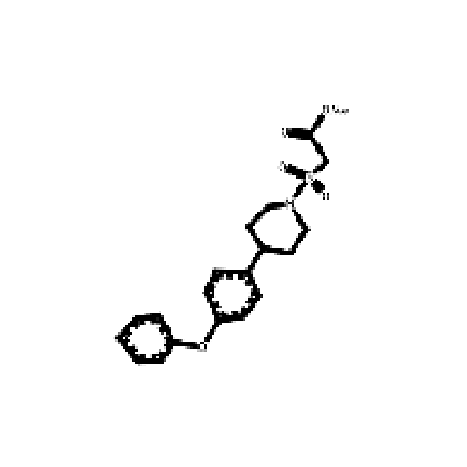 COC(=O)CS(=O)(=O)N1CCC(c2ccc(Oc3ccccc3)cc2)CC1